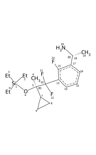 CC[Si](CC)(CC)O[C@](C)(C1CC1)C(F)(F)c1cccc([C@@H](C)N)c1F